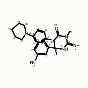 CN1C(=N)N[C@](C)(c2cccc(C#N)c2)[C@@H](c2ccc(N3CCCCC3)cc2)C1=O